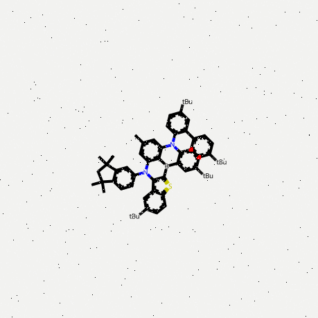 Cc1cc2c3c(c1)N(c1ccc4c(c1)C(C)(C)CC4(C)C)c1c(sc4ccc(C(C)(C)C)cc14)B3c1cc(C(C)(C)C)ccc1N2c1ccc(C(C)(C)C)cc1-c1ccc(C(C)(C)C)cc1